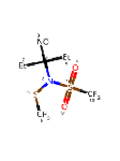 CCC(CC)(N=O)N(SC(F)(F)F)S(=O)(=O)C(F)(F)F